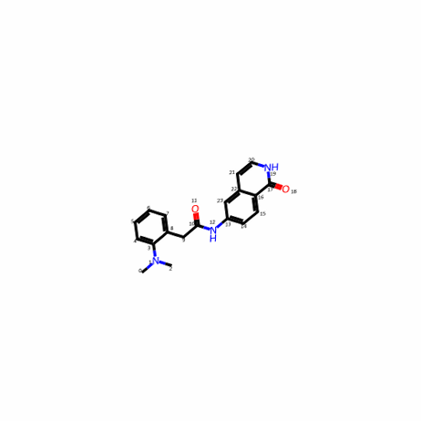 CN(C)c1ccccc1CC(=O)Nc1ccc2c(=O)[nH]ccc2c1